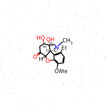 CCc1ccc(OC)c2c1[C@]13CCN(C)C[C@]1(O)[C@H](O)CC(=O)[C@@H]3O2